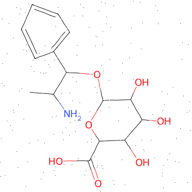 CC(N)C(OC1OC(C(=O)O)C(O)C(O)C1O)c1ccccc1